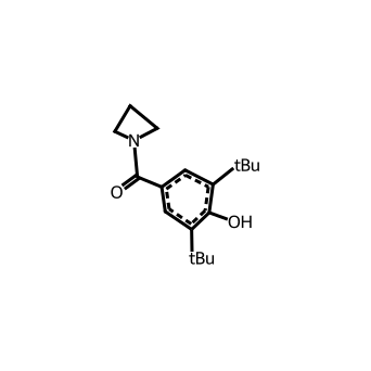 CC(C)(C)c1cc(C(=O)N2CCC2)cc(C(C)(C)C)c1O